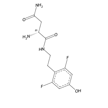 NC(=O)C[C@@H](N)C(=O)NCCc1c(F)cc(O)cc1F